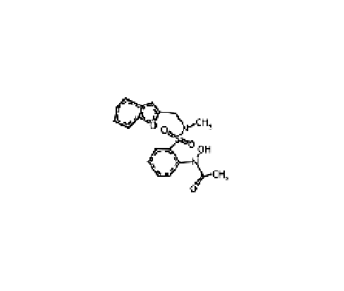 CC(=O)N(O)c1ccccc1S(=O)(=O)N(C)Cc1cc2ccccc2o1